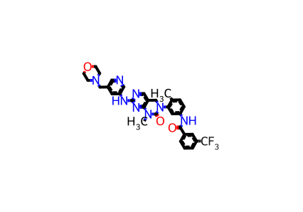 Cc1ccc(NC(=O)c2cccc(C(F)(F)F)c2)cc1N1Cc2cnc(Nc3cncc(CN4CCOCC4)c3)nc2N(C)C1=O